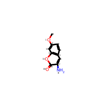 COc1ccc2cc(N)c(=O)oc2c1